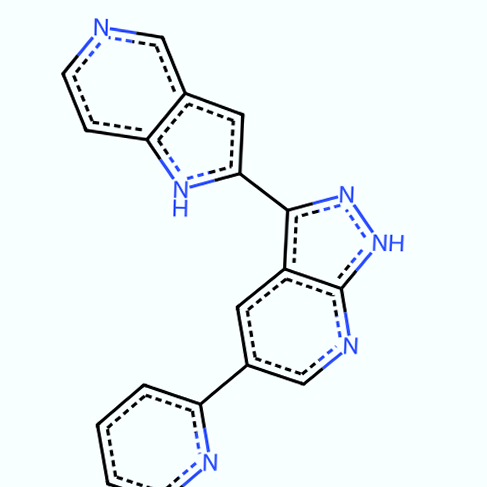 c1ccc(-c2cnc3[nH]nc(-c4cc5cnccc5[nH]4)c3c2)nc1